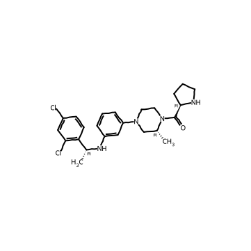 C[C@@H]1CN(c2cccc(N[C@H](C)c3ccc(Cl)cc3Cl)c2)CCN1C(=O)[C@H]1CCCN1